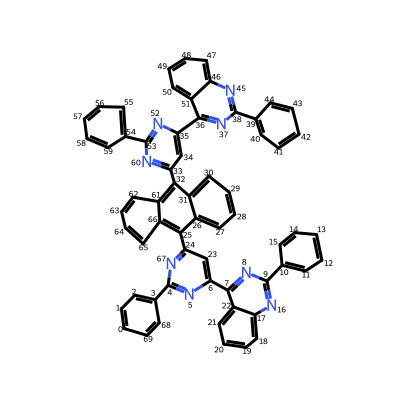 c1ccc(-c2nc(-c3nc(-c4ccccc4)nc4ccccc34)cc(-c3c4ccccc4c(-c4cc(-c5nc(-c6ccccc6)nc6ccccc56)nc(-c5ccccc5)n4)c4ccccc34)n2)cc1